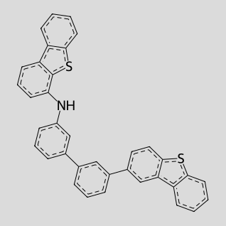 c1cc(Nc2cccc3c2sc2ccccc23)cc(-c2cccc(-c3ccc4sc5ccccc5c4c3)c2)c1